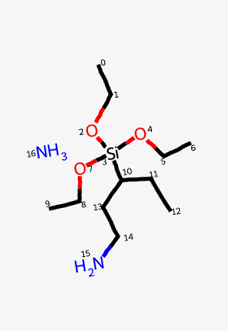 CCO[Si](OCC)(OCC)C(CC)CCN.N